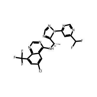 C[C@H](Nc1ncnc2c(C(F)(F)F)cc(Cl)cc12)c1ncnn1-c1cc(C(F)F)ncn1